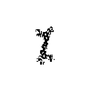 CC(C)OC(=O)OC1CCC(OC(=O)OC(C)C)c2cc(-c3cc4sc(-c5ccc6c(c5)C(OC(=O)OC(C)C)CCC6OC(=O)OC(C)C)cc4s3)ccc21